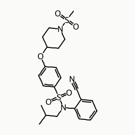 CC(C)CN(c1ccccc1C#N)S(=O)(=O)c1ccc(OC2CCN(S(C)(=O)=O)CC2)cc1